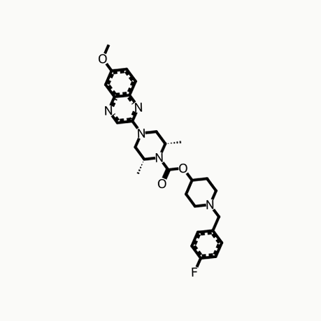 COc1ccc2nc(N3C[C@@H](C)N(C(=O)OC4CCN(Cc5ccc(F)cc5)CC4)[C@@H](C)C3)cnc2c1